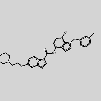 Cc1cccc(Cn2ncc3c(NC(=O)c4cnc5cc(OCCN6CCN(C)CC6)ccn45)ccc(Cl)c32)n1